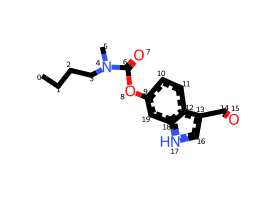 CCCCN(C)C(=O)Oc1ccc2c(C=O)c[nH]c2c1